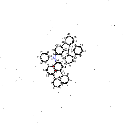 c1ccc(-c2cccc3cccc(-c4ccc(N(c5ccccc5)c5ccc6c(c5)C(c5ccccc5)(c5ccccc5)c5ccccc5-6)cc4)c23)cc1